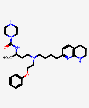 O=C(O)C(CCN(CCCCc1ccc2c(n1)NCCC2)CCOc1ccccc1)NC(=O)N1CCNCC1